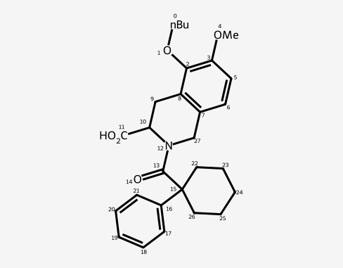 CCCCOc1c(OC)ccc2c1CC(C(=O)O)N(C(=O)C1(c3ccccc3)CCCCC1)C2